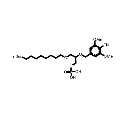 CCCCCCCCCCCCCCCCCCOCC(COP(=O)(O)O)OCc1cc(OC)c(C#N)c(OC)c1